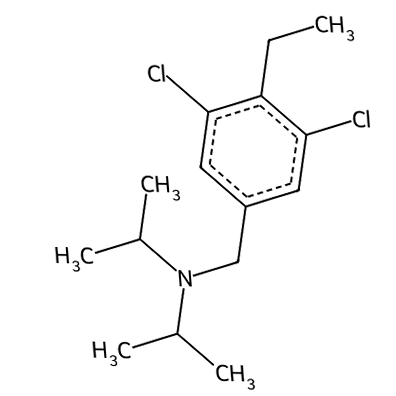 CCc1c(Cl)cc(CN(C(C)C)C(C)C)cc1Cl